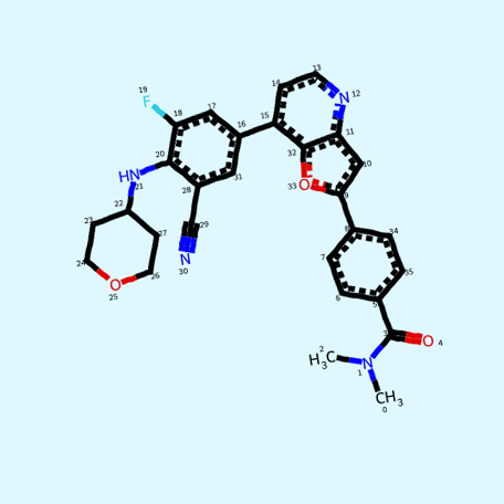 CN(C)C(=O)c1ccc(-c2cc3nccc(-c4cc(F)c(NC5CCOCC5)c(C#N)c4)c3o2)cc1